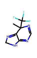 CC1(C(F)(F)F)N=CN=C2NCN=C21